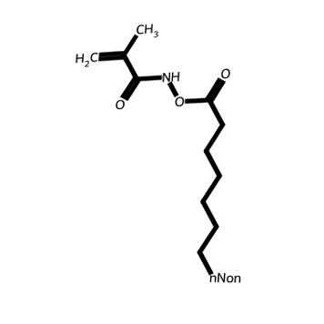 C=C(C)C(=O)NOC(=O)CCCCCCCCCCCCCCC